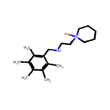 Cc1c(C)c(C)c(CNCC[N+]2(Br)CCCCC2)c(C)c1C